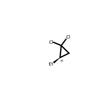 CC[C@@H]1CC1(Cl)Cl